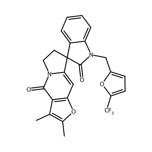 Cc1oc2cc3n(c(=O)c2c1C)CCC31C(=O)N(Cc2ccc(C(F)(F)F)o2)c2ccccc21